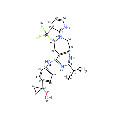 CC(C)c1nc2c(c(Nc3ccc(C4(CO)CC4)cc3)n1)CCN(c1ncccc1C(F)(F)F)CC2